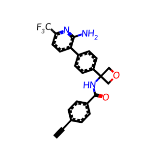 C#Cc1ccc(C(=O)NC2(c3ccc(-c4ccc(C(F)(F)F)nc4N)cc3)COC2)cc1